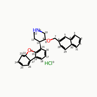 Cl.c1ccc2cc(CO[C@H]3CNCC[C@@H]3c3cccc4c3oc3ccccc34)ccc2c1